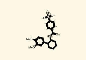 COc1ccc(C2CCCCC2NC(=O)c2ccc(S(N)(=O)=O)cc2)cc1OC